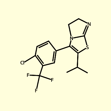 CC(C)C1=C(c2ccc(Cl)c(C(F)(F)F)c2)N2CCN=C2S1